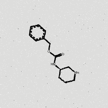 O=C(N[C@@H]1CCCNC1)OCc1ccccc1